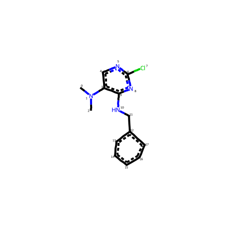 CN(C)c1cnc(Cl)nc1NCc1ccccc1